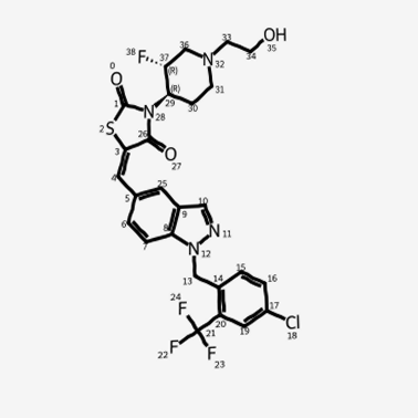 O=C1SC(=Cc2ccc3c(cnn3Cc3ccc(Cl)cc3C(F)(F)F)c2)C(=O)N1[C@@H]1CCN(CCO)C[C@H]1F